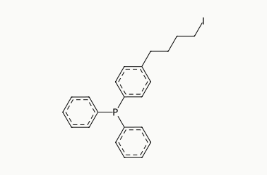 ICCCCc1ccc(P(c2ccccc2)c2ccccc2)cc1